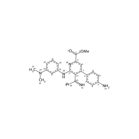 COC(=O)c1cc(-c2ccc(N)cc2)c(C(=N)C(C)C)c(Nc2cccc(N(C)C)c2)n1